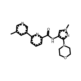 Cc1cncc(-c2cccc(C(=O)Nc3cn(C)nc3N3CCOCC3)n2)c1